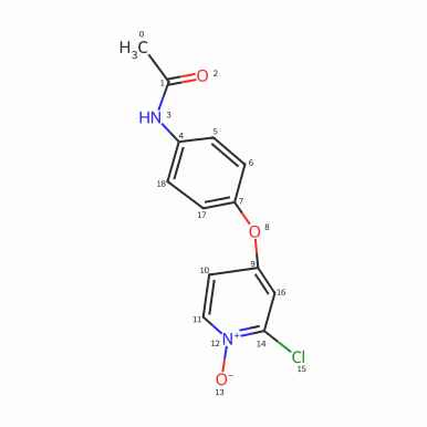 CC(=O)Nc1ccc(Oc2cc[n+]([O-])c(Cl)c2)cc1